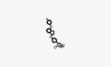 Cc1ccc(Oc2cccc3c2CC[C@H]3Oc2ccc(C3CC(=O)N[S+]3[O-])cc2)cc1